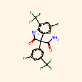 NC(=O)C(C(N)=O)(c1cc(F)cc(C(F)(F)F)c1)c1cc(F)cc(C(F)(F)F)c1